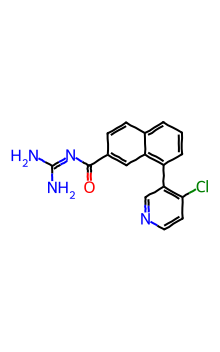 NC(N)=NC(=O)c1ccc2cccc(-c3cnccc3Cl)c2c1